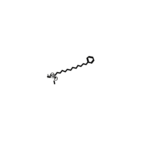 CCO[SiH](CCCCCCCCCCCCc1ccccc1)OCC